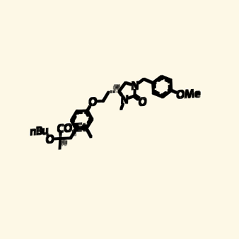 CCCCO[C@@](C)(Cc1ccc(OCC[C@@H]2CN(Cc3ccc(OC)cc3)C(=O)N2C)cc1C)C(=O)OCC